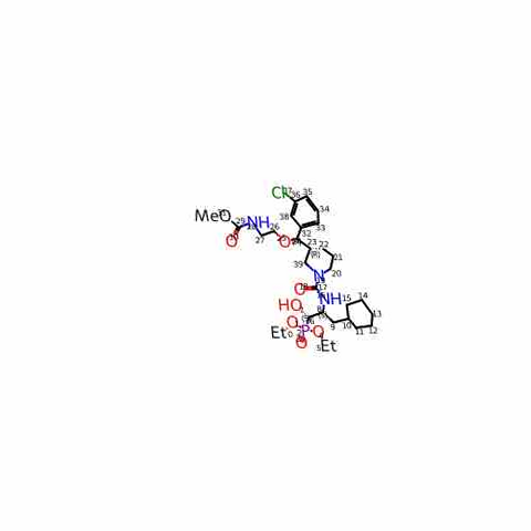 CCOP(=O)(OCC)[C@H](O)[C@H](CC1CCCCC1)NC(=O)N1CCC[C@@H]([C@@H](OCCNC(=O)OC)c2cccc(Cl)c2)C1